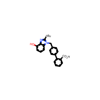 CCCCc1nc2c(O)cccc2n1Cc1ccc(-c2ccccc2C(=O)O)cc1